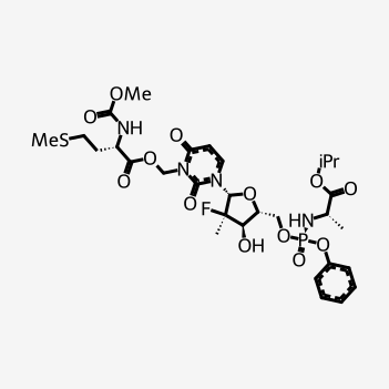 COC(=O)N[C@@H](CCSC)C(=O)OCn1c(=O)ccn([C@@H]2O[C@H](CO[P@](=O)(N[C@@H](C)C(=O)OC(C)C)Oc3ccccc3)[C@@H](O)[C@@]2(C)F)c1=O